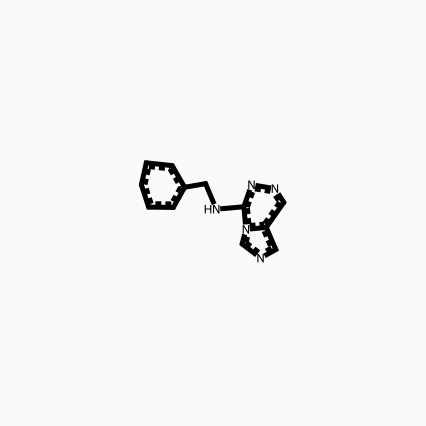 c1ccc(CNc2nncc3cncn23)cc1